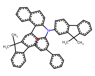 CC1(C)c2ccccc2-c2ccc(-c3c(N(c4cccc(-c5ccccc5)c4)c4ccc5c(c4)C(C)(C)c4ccccc4-5)ccc4ccccc34)cc21